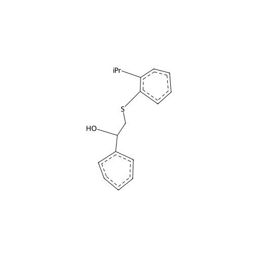 CC(C)c1ccccc1SCC(O)c1ccccc1